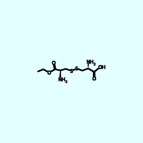 CCOC(=O)[C@H](N)CSSC[C@H](N)C(=O)O